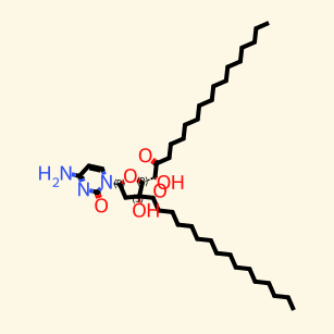 CCCCCCCCCCCCCCCC(=O)C(O)[C@H]1O[C@@H](n2ccc(N)nc2=O)C[C@@]1(O)C(=O)CCCCCCCCCCCCCCC